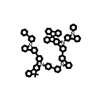 CC1(C)c2ccccc2-c2cc3c4cc(-c5ccc6c(c5)c5ccccc5n6-c5cccc(-c6ccccc6)c5)ccc4n(-c4ccc(-c5cccc(-n6c7ccccc7c7cc(-c8ccc9c(c8)c8cc%10c(cc8n9-c8ccc9c(c8)c8ccccc8n9-c8ccccc8)C8(c9ccccc9-c9ccccc98)c8ccccc8-%10)ccc76)c5)cc4)c3cc21